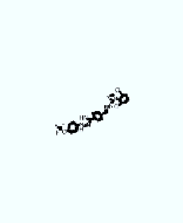 N=C(/N=C\Nc1ccc(OC(F)(F)F)cc1)c1ccc(/C=N/N=C2\SCN2c2c(Cl)cccc2Cl)cc1